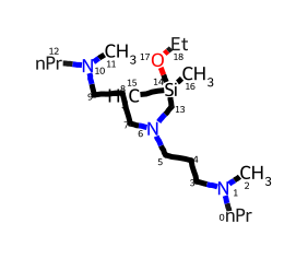 CCCN(C)CCCN(CCCN(C)CCC)C[Si](C)(C)OCC